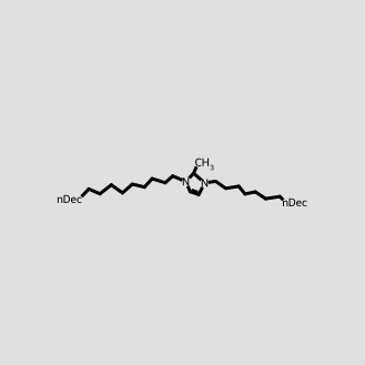 CCCCCCCCCCCCCCCCCCCN1C=CN(CCCCCCCCCCCCCCCCC)C1C